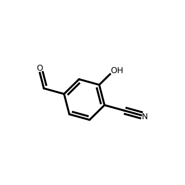 N#Cc1ccc(C=O)cc1O